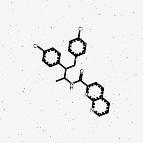 CC(NC(=O)c1ccc2cccnc2n1)C(Cc1ccc(Cl)cc1)c1ccc(Cl)cc1